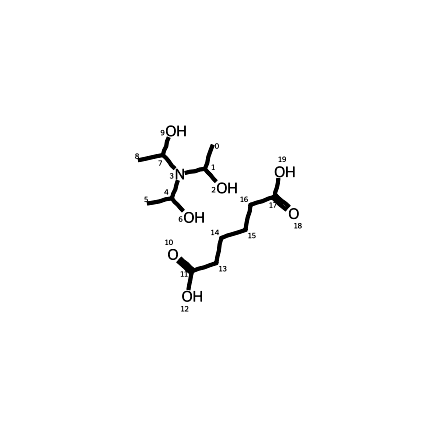 CC(O)N(C(C)O)C(C)O.O=C(O)CCCCC(=O)O